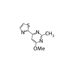 COc1cc(-c2nccs2)nc(C)n1